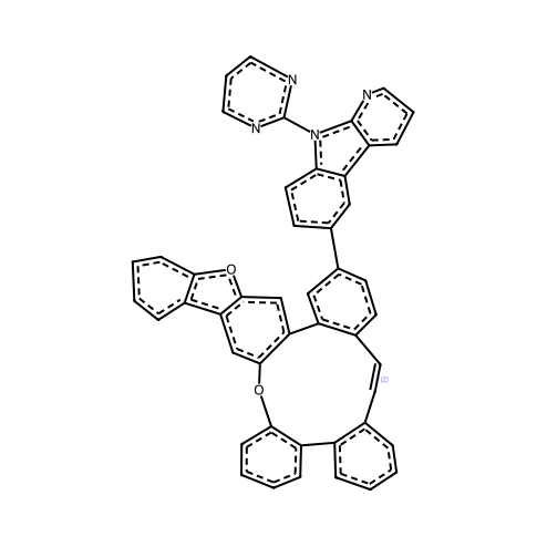 C1=C\c2ccc(-c3ccc4c(c3)c3cccnc3n4-c3ncccn3)cc2-c2cc3oc4ccccc4c3cc2Oc2ccccc2-c2ccccc2/1